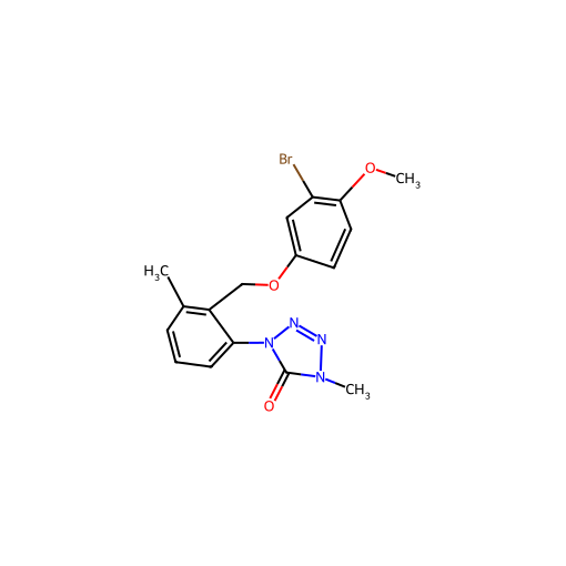 COc1ccc(OCc2c(C)cccc2-n2nnn(C)c2=O)cc1Br